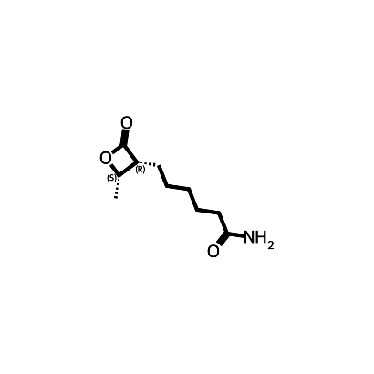 C[C@@H]1OC(=O)[C@@H]1CCCCCC(N)=O